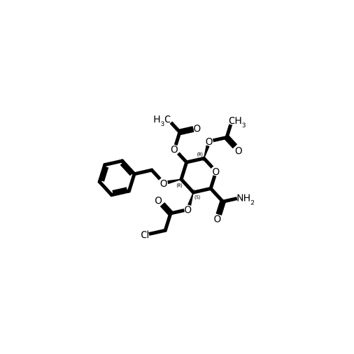 CC(=O)OC1[C@@H](OC(C)=O)OC(C(N)=O)[C@@H](OC(=O)CCl)[C@H]1OCc1ccccc1